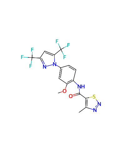 COc1cc(-n2nc(C(F)(F)F)cc2C(F)(F)F)ccc1NC(=O)c1snnc1C